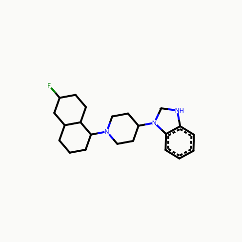 FC1CCC2C(CCCC2N2CCC(N3[CH]Nc4ccccc43)CC2)C1